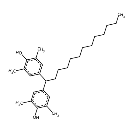 CCCCCCCCCCCCC(c1cc(C)c(O)c(C)c1)c1cc(C)c(O)c(C)c1